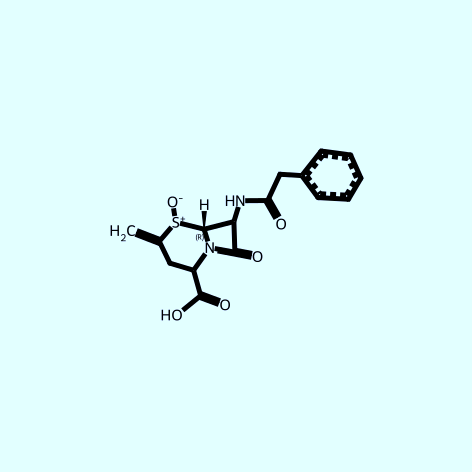 C=C1CC(C(=O)O)N2C(=O)C(NC(=O)Cc3ccccc3)[C@H]2[S+]1[O-]